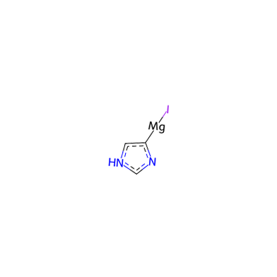 [I][Mg][c]1c[nH]cn1